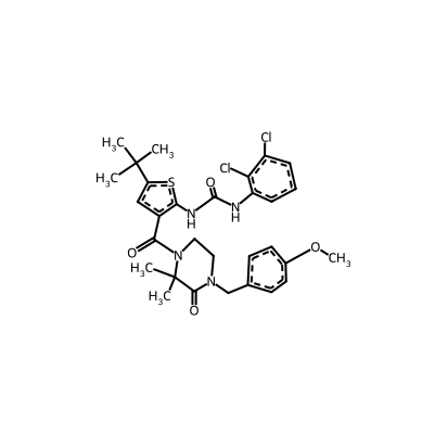 COc1ccc(CN2CCN(C(=O)c3cc(C(C)(C)C)sc3NC(=O)Nc3cccc(Cl)c3Cl)C(C)(C)C2=O)cc1